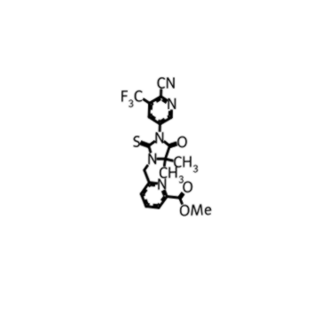 COC(=O)c1cccc(CN2C(=S)N(c3cnc(C#N)c(C(F)(F)F)c3)C(=O)C2(C)C)n1